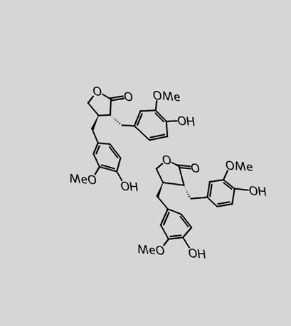 COc1cc(C[C@H]2COC(=O)[C@@H]2Cc2ccc(O)c(OC)c2)ccc1O.COc1cc(C[C@H]2COC(=O)[C@@H]2Cc2ccc(O)c(OC)c2)ccc1O